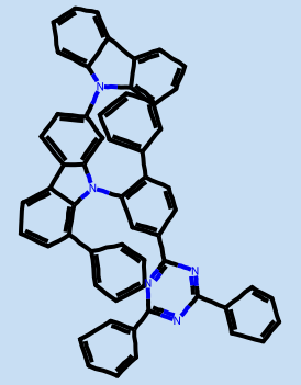 c1ccc(-c2nc(-c3ccccc3)nc(-c3ccc(-c4ccccc4)c(-n4c5cc(-n6c7ccccc7c7ccccc76)ccc5c5cccc(-c6ccccc6)c54)c3)n2)cc1